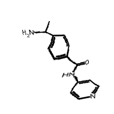 CC(N)c1ccc(C(=O)Nc2ccncc2)cc1